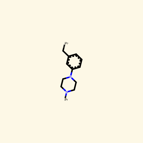 C[C](C)Cc1cccc(N2CCN(C(C)C)CC2)c1